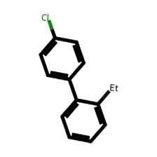 CCc1ccccc1-c1ccc(Cl)cc1